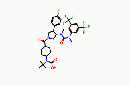 CN(C(=O)N(C)[C@@H]1CN(C(=O)C2CCC(N(C(=O)O)C(C)(C)C)CC2)C[C@H]1c1ccc(F)cc1)c1cc(C(F)(F)F)cc(C(F)(F)F)c1